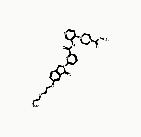 COCCOCCOc1ccc2c(c1)C(=O)N(c1cccc(C(=O)Nc3cnccc3N3CCN(C(=O)OC(C)(C)C)CC3)n1)C2